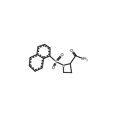 NC(=O)C1CCN1S(=O)(=O)c1cccc2ccccc12